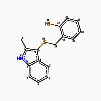 Cc1[nH]c2ccccc2c1SCc1ccccc1S